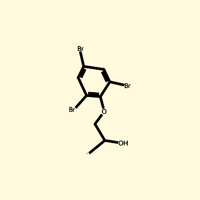 [CH2]C(O)COc1c(Br)cc(Br)cc1Br